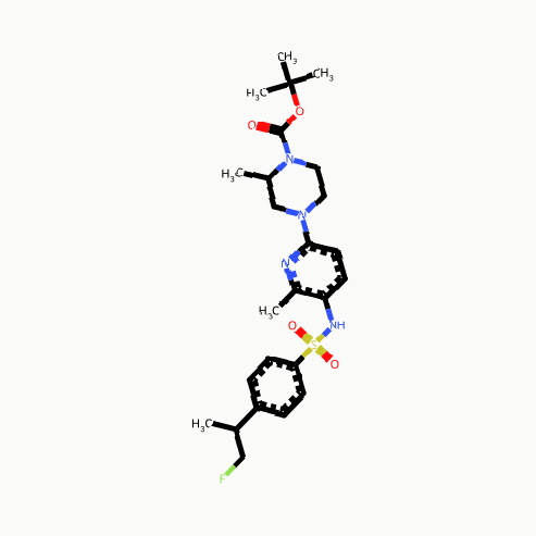 Cc1nc(N2CCN(C(=O)OC(C)(C)C)C(C)C2)ccc1NS(=O)(=O)c1ccc(C(C)CF)cc1